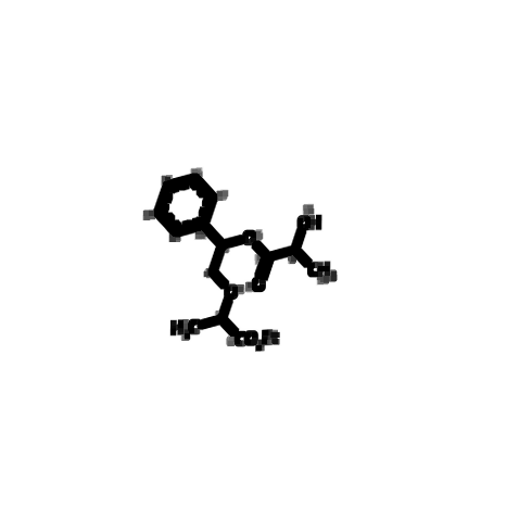 CCOC(=O)C(C)OCC(OC(=O)C(C)O)c1ccccc1